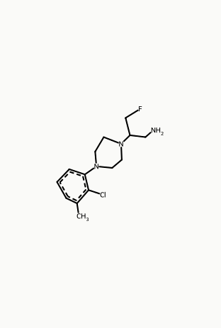 Cc1cccc(N2CCN(C(CN)CF)CC2)c1Cl